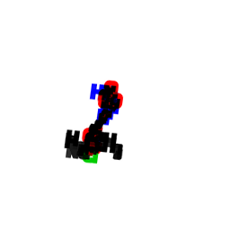 CC1(C)[C@H](Oc2ccc(C#N)c(Cl)c2)C(C)(C)[C@H]1N1Cc2cc(C#CC3CN(C4CN(c5cnc6c(n5)C(=O)N(C5CCC(=O)NC5=O)C6=O)C4)C3)ccc2C1=O